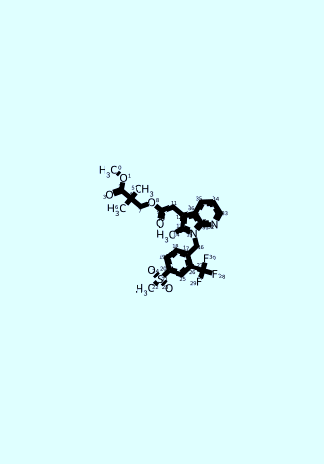 COC(=O)C(C)(C)COC(=O)Cc1c(C)n(Cc2ccc(S(C)(=O)=O)cc2C(F)(F)F)c2ncccc12